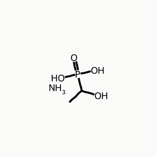 CC(O)P(=O)(O)O.N